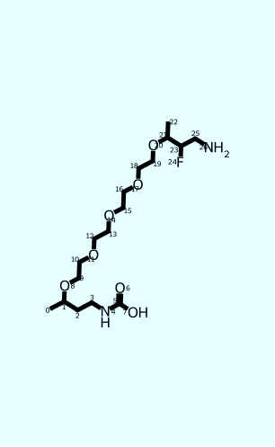 CC(CCNC(=O)O)OCCOCCOCCOCCOC(C)C(F)CN